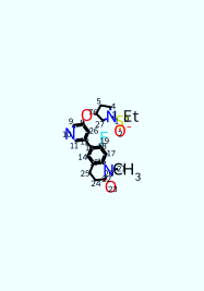 CC[S+]([O-])N1CC[C@@H](Oc2cncc(-c3cc4c(cc3F)N(C)C(=O)CC4)c2)C1